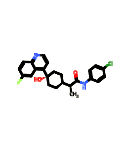 C[C@H](C(=O)Nc1ccc(Cl)cc1)[C@H]1CC[C@@](O)(c2ccnc3ccc(F)cc32)CC1